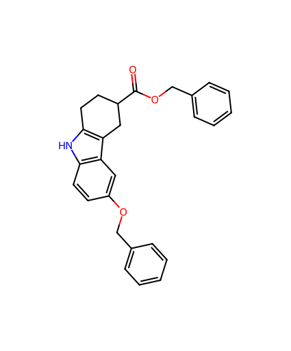 O=C(OCc1ccccc1)C1CCc2[nH]c3ccc(OCc4ccccc4)cc3c2C1